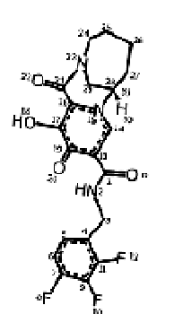 O=C(NCc1ccc(F)c(F)c1F)c1cn2c(c(O)c1=O)C(=O)N1CCCC[C@H]2C1